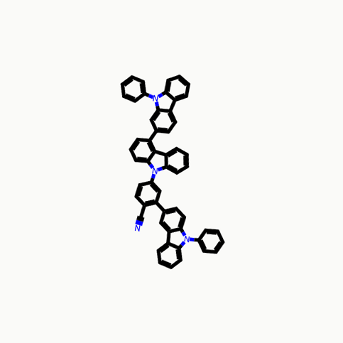 N#Cc1ccc(-n2c3ccccc3c3c(-c4ccc5c6ccccc6n(-c6ccccc6)c5c4)cccc32)cc1-c1ccc2c(c1)c1ccccc1n2-c1ccccc1